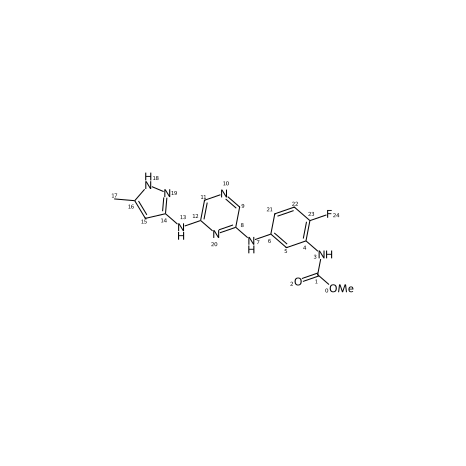 COC(=O)Nc1cc(Nc2cncc(Nc3cc(C)[nH]n3)n2)ccc1F